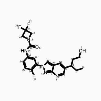 CCC(CCO)c1cnc2nn(-c3cc(NC(=O)N4CC(F)(F)C4)ccc3F)cc2c1